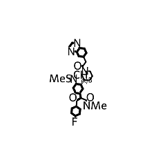 CNC(=O)c1c(-c2ccc(F)cc2)oc2cc(N(C)SC)c([C@H]3CCCN(C(=O)Cc4ccc5nccnc5c4)C3)cc12